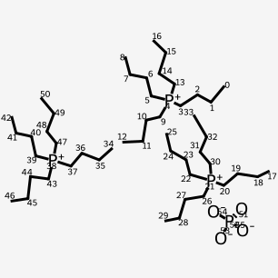 CCCC[P+](CCCC)(CCCC)CCCC.CCCC[P+](CCCC)(CCCC)CCCC.CCCC[P+](CCCC)(CCCC)CCCC.O=P([O-])([O-])[O-]